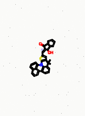 CC1(C)c2cc(/C=C3/C(=O)c4ccccc4C3O)sc2N2c3c(cccc31)-c1cccc3cccc2c13